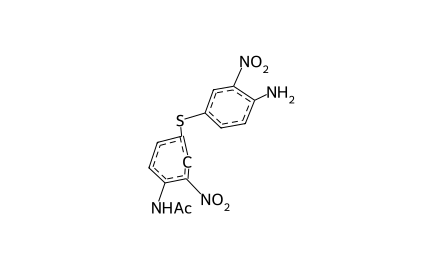 CC(=O)Nc1ccc(Sc2ccc(N)c([N+](=O)[O-])c2)cc1[N+](=O)[O-]